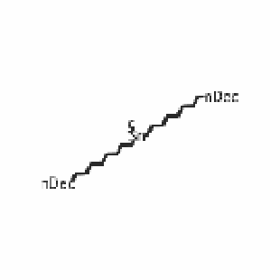 CCCCCCCCCCCCCCCCC[CH2][Sn](=[S])[CH2]CCCCCCCCCCCCCCCCC